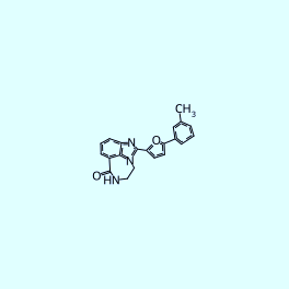 Cc1cccc(-c2ccc(-c3nc4cccc5c4n3CCNC5=O)o2)c1